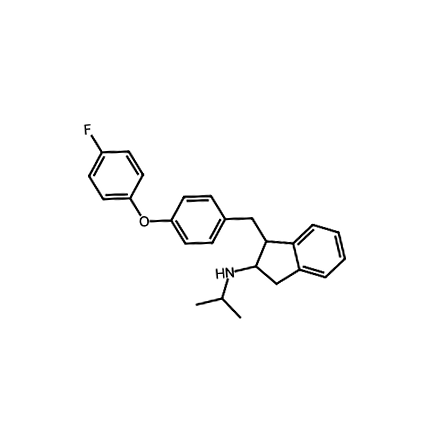 CC(C)NC1Cc2ccccc2C1Cc1ccc(Oc2ccc(F)cc2)cc1